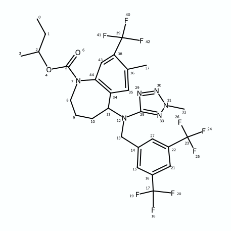 CCC(C)OC(=O)N1CCCC(N(Cc2cc(C(F)(F)F)cc(C(F)(F)F)c2)c2nnn(C)n2)c2cc(C)c(C(F)(F)F)cc21